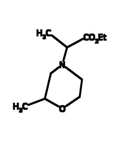 CCOC(=O)C(C)N1CCOC(C)C1